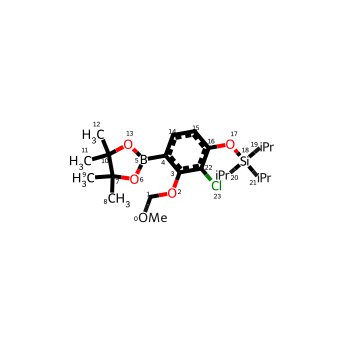 COCOc1c(B2OC(C)(C)C(C)(C)O2)ccc(O[Si](C(C)C)(C(C)C)C(C)C)c1Cl